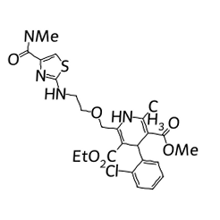 CCOC(=O)C1=C(COCCNc2nc(C(=O)NC)cs2)NC(C)=C(C(=O)OC)C1c1ccccc1Cl